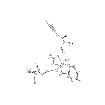 CC#CC[C@@H](C)[C@H](O)/C=C/[C@H]1[C@H](O)C[C@]2(CCCC(=O)N(C)C(C)(C)C)Oc3ccccc3[C@H]12